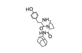 N[C@@H](Cc1ccc(O)cc1)C(=O)N1CCC[C@@H]1C(=O)NC1C2CC3CC(C2)CC1C3